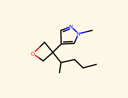 CCCC(C)C1(c2cnn(C)c2)COC1